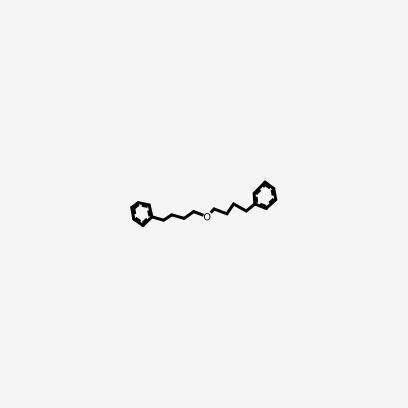 c1ccc(CCCCOCCCCc2ccccc2)cc1